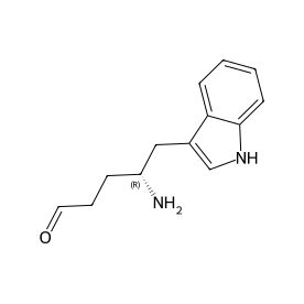 N[C@H](CCC=O)Cc1c[nH]c2ccccc12